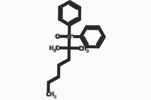 CCCCCC(C)(C)[N+]([O])(c1ccccc1)c1ccccc1